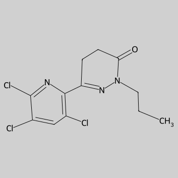 CCCN1N=C(c2nc(Cl)c(Cl)cc2Cl)CCC1=O